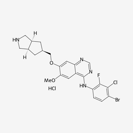 COc1cc2c(Nc3ccc(Br)c(Cl)c3F)ncnc2cc1OC[C@H]1C[C@H]2CNC[C@H]2C1.Cl